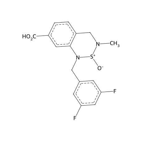 CN1Cc2ccc(C(=O)O)cc2N(Cc2cc(F)cc(F)c2)[S+]1[O-]